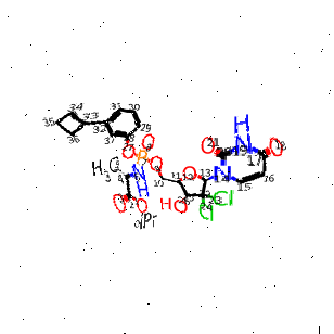 CC(C)OC(=O)[C@H](C)NP(=O)(OC[C@H]1O[C@@H](n2ccc(=O)[nH]c2=O)C(Cl)(Cl)[C@@H]1O)Oc1cccc(C2CCC2)c1